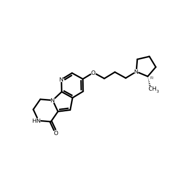 C[C@H]1CCCN1CCCOc1cnc2c(c1)cc1n2CCNC1=O